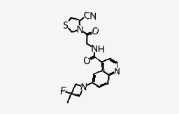 CC1(F)CN(c2ccc3nccc(C(=O)NCC(=O)N4CSCC4C#N)c3c2)C1